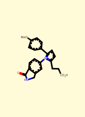 COc1ccc(-c2ccc(CCC(=O)O)n2-c2ccc3c(c2)CNC3=O)cc1